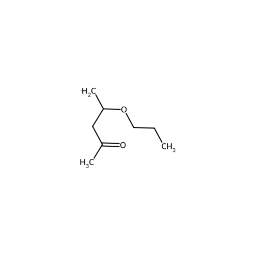 [CH2]C(CC(C)=O)OCCC